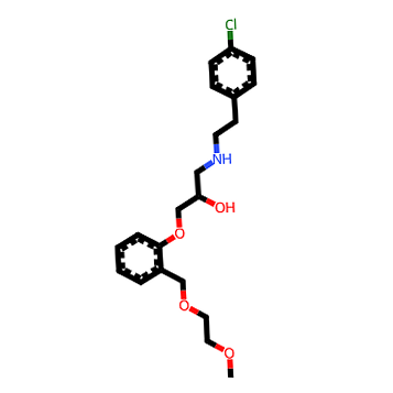 COCCOCc1ccccc1OCC(O)CNCCc1ccc(Cl)cc1